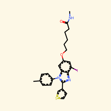 CNC(=O)CCCCCOc1cc(I)c2nc(-c3ccsc3)n(-c3ccc(C)cc3)c2c1